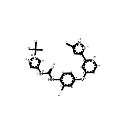 Cc1cc(-c2cc(Oc3ccc(NC(=O)Nc4cnn(C(C)(C)C)c4)c(F)c3)ccn2)sn1